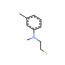 Cc1cccc(N(C)CCF)c1